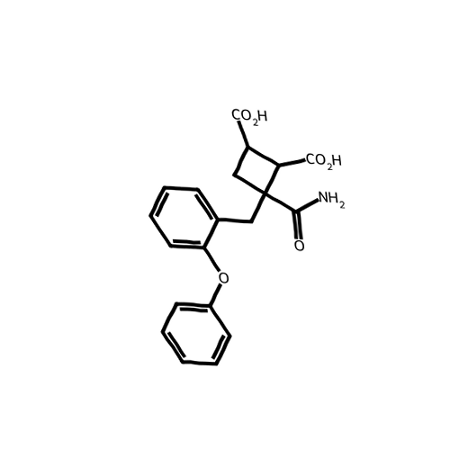 NC(=O)C1(Cc2ccccc2Oc2ccccc2)CC(C(=O)O)C1C(=O)O